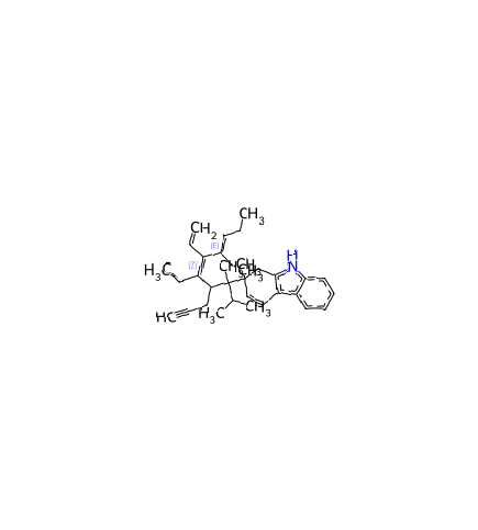 C#CCC(/C(CC)=C(C=C)\C(=C\CC)CC)C(C)(C(C)C)C1(C)C=Cc2c([nH]c3ccccc23)C1